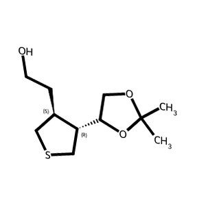 CC1(C)OCC([C@@H]2CSC[C@H]2CCO)O1